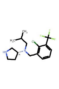 CC(C)CN(Cc1cccc(C(F)(F)F)c1Cl)[C@@H]1CCNC1